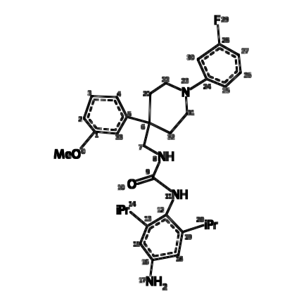 COc1cccc(C2(CNC(=O)Nc3c(C(C)C)cc(N)cc3C(C)C)CCN(c3cccc(F)c3)CC2)c1